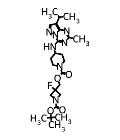 Cc1nc(NC2CCN(C(=O)OCC3(F)CN(C(=O)OC(C)(C)C)C3)CC2)n2ncc(C(C)C)c2n1